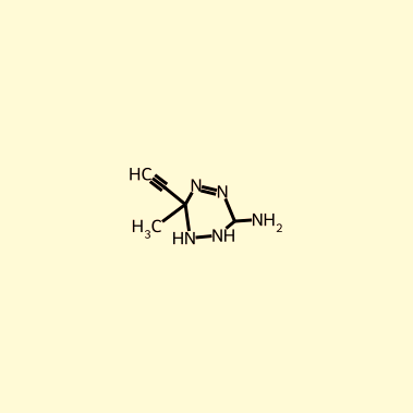 C#CC1(C)N=NC(N)NN1